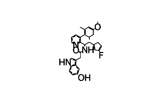 COC1=CC(C)=C(c2cccnc2C(CC2=CC(F)=CC2)NC(=O)Cc2c[nH]c3ccc(O)cc23)C(C)C1